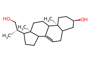 C[C@H](CO)C1CCC2C3=CCC4C[C@H](O)CC[C@]4(C)C3CC[C@@]21C